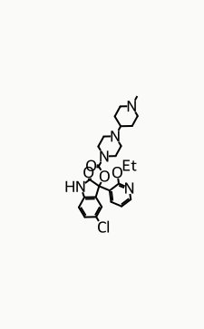 CCOc1ncccc1C1(OC(=O)N2CCN(C3CCN(C)CC3)CC2)C(=O)Nc2ccc(Cl)cc21